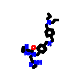 CCCN(CCC)Cc1ccc(CN(C)Cc2ccc(CN(Cc3ncc[nH]3)C(=O)c3ncc[nH]3)cc2)cc1